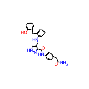 NC(=O)Cc1ccc(NC(=O)c2n[nH]cc2CNc2ccccc2Cc2ccccc2O)cc1